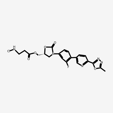 Cc1nnc(-c2ccc(-c3ccc(N4C[C@H](COC(=O)CCNCl)OC4=O)cc3F)cn2)o1